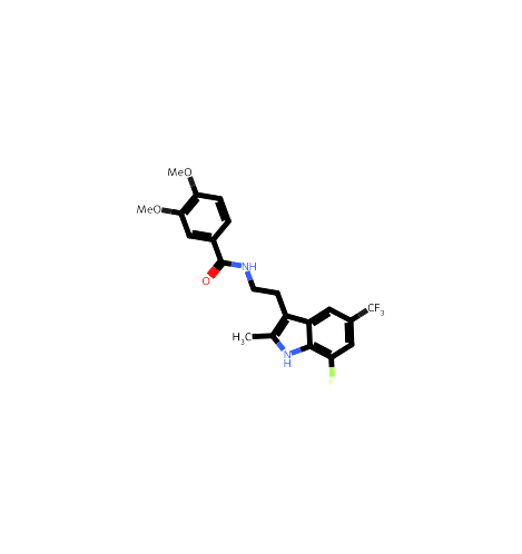 COc1ccc(C(=O)NCCc2c(C)[nH]c3c(F)cc(C(F)(F)F)cc23)cc1OC